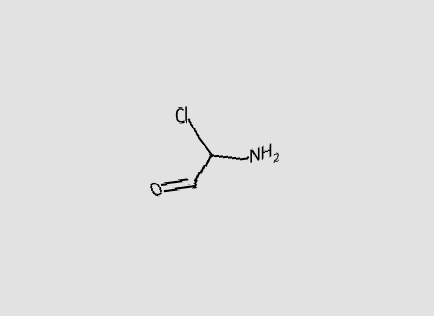 NC(Cl)C=O